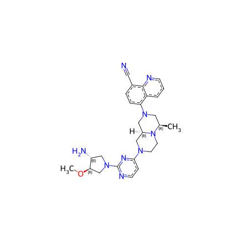 CO[C@@H]1CN(c2nccc(N3CCN4[C@@H](C3)CN(c3ccc(C#N)c5ncccc35)C[C@H]4C)n2)C[C@H]1N